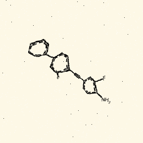 Nc1ccc(C#Cc2ccc(-c3ccccc3)cc2F)cc1F